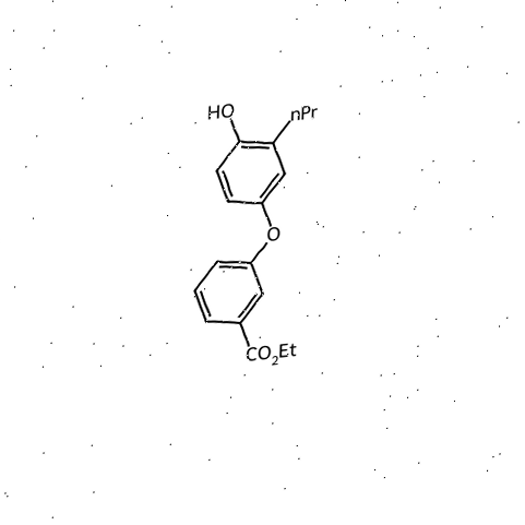 CCCc1cc(Oc2cccc(C(=O)OCC)c2)ccc1O